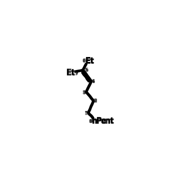 CCCCCCCCC=C(CC)CC